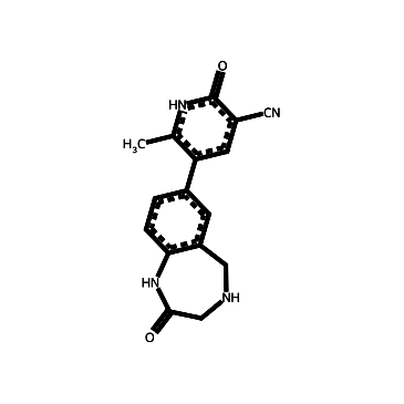 Cc1[nH]c(=O)c(C#N)cc1-c1ccc2c(c1)CNCC(=O)N2